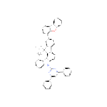 CC1(C)c2cc(-c3cccc4c3oc3ccccc34)ccc2-c2ccc3c(c21)c1ccccc1n3-c1nc(-c2ccccc2)cc(-c2ccccc2)n1